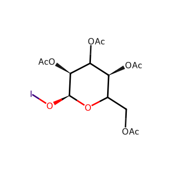 CC(=O)OCC1O[C@@H](OI)[C@@H](OC(C)=O)C(OC(C)=O)[C@H]1OC(C)=O